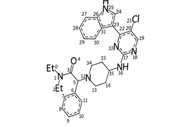 CCN(CC)C(=O)C(c1ccccc1)N1CCC(Nc2ncc(Cl)c(-c3c[nH]c4ccccc34)n2)CC1